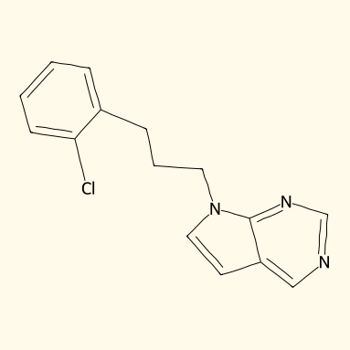 Clc1ccccc1CCCn1ccc2cncnc21